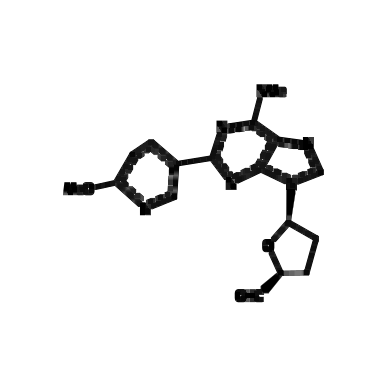 CNc1nc(-c2ccc(OC)nc2)nc2c1ncn2[C@H]1CC[C@@H](C=O)O1